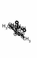 CCOC(=O)N1CCN(C(=O)C(CCCC(=O)OC(C)(C)C)NC(=O)c2cc(NCc3ccccc3)nc(-c3ccccc3)n2)CC1